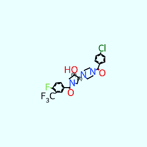 O=C(c1ccc(Cl)cc1)N1CCN([C@@H]2CN(C(=O)c3ccc(F)c(C(F)(F)F)c3)C[C@H]2O)CC1